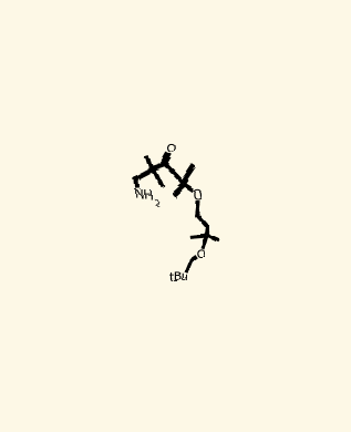 CC(C)(C)COC(C)(C)CCOC(C)(C)C(=O)C(C)(C)CN